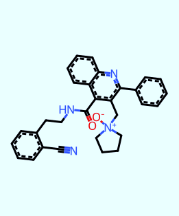 N#Cc1ccccc1CCNC(=O)c1c(C[N+]2([O-])CCCC2)c(-c2ccccc2)nc2ccccc12